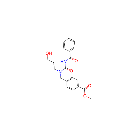 COC(=O)c1ccc(CN(CCCO)C(=O)NC(=O)c2ccccc2)cc1